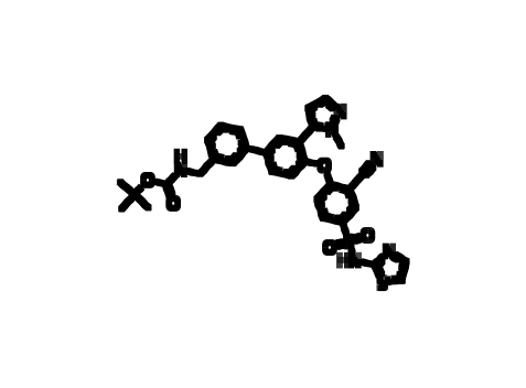 Cn1nccc1-c1cc(-c2cccc(CNC(=O)OC(C)(C)C)c2)ccc1Oc1ccc(S(=O)(=O)Nc2nccs2)cc1C#N